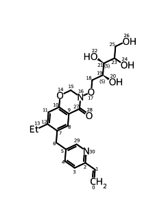 C=Cc1ccc(Cc2cc3c(cc2CC)OCN(OC[C@H](O)[C@@H](O)C(O)CO)C3=O)cn1